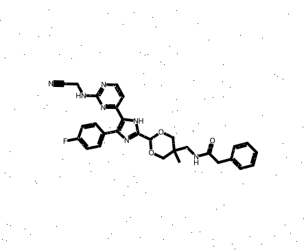 CC1(CNC(=O)Cc2ccccc2)COC(c2nc(-c3ccc(F)cc3)c(-c3ccnc(NCC#N)n3)[nH]2)OC1